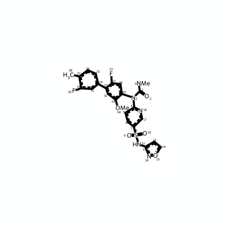 CNC(=O)N(c1ccc(S(=O)(=O)Nc2ccon2)cn1)c1cc(F)c(-c2ccc(C)c(F)c2)cc1OC